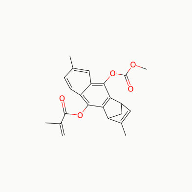 C=C(C)C(=O)Oc1c2c(c(OC(=O)OC)c3cc(C)ccc13)C1C=C(C)C2C1